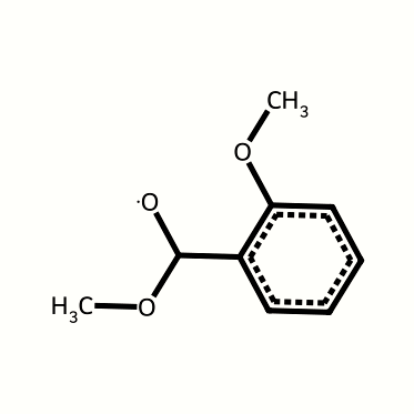 COc1ccccc1C([O])OC